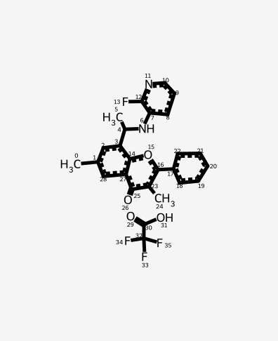 Cc1cc(C(C)Nc2cccnc2F)c2oc(-c3ccccc3)c(C)c(=O)c2c1.O=C(O)C(F)(F)F